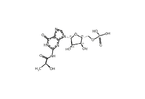 CC(O)C(=O)Nc1nc2c(ncn2[C@@H]2O[C@H](COP(=O)(O)O)[C@@H](O)[C@H]2O)c(=O)[nH]1